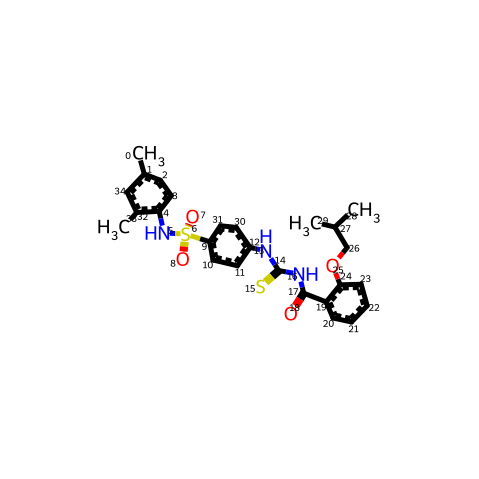 Cc1ccc(NS(=O)(=O)c2ccc(NC(=S)NC(=O)c3ccccc3OCC(C)C)cc2)c(C)c1